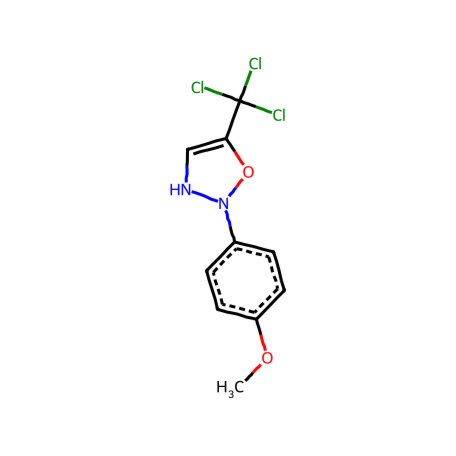 COc1ccc(N2NC=C(C(Cl)(Cl)Cl)O2)cc1